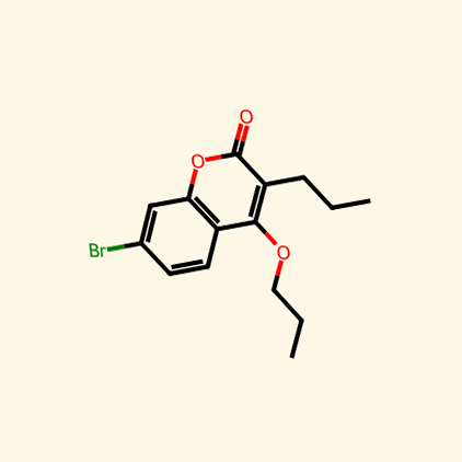 CCCOc1c(CCC)c(=O)oc2cc(Br)ccc12